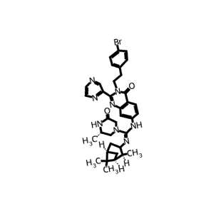 C[C@@H]1C(/N=C(/Nc2ccc3c(=O)n(CCc4ccc(Br)cc4)c(-c4cnccn4)nc3c2)N2CC(=O)N[C@@H](C)C2)C[C@H]2C[C@@H]1C2(C)C